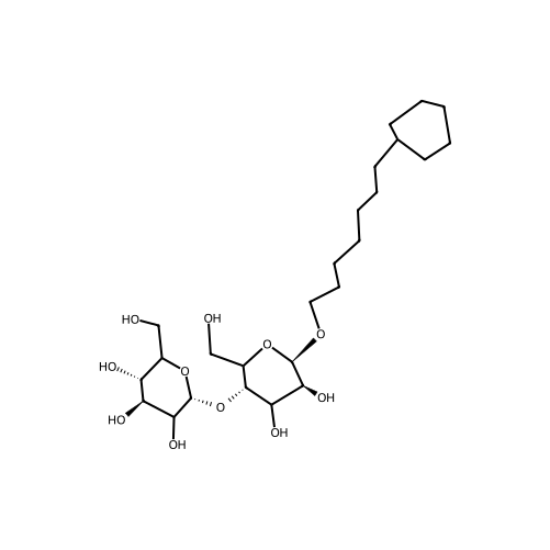 OCC1O[C@@H](OCCCCCCCC2CCCCC2)[C@@H](O)C(O)[C@@H]1O[C@H]1OC(CO)[C@@H](O)[C@H](O)C1O